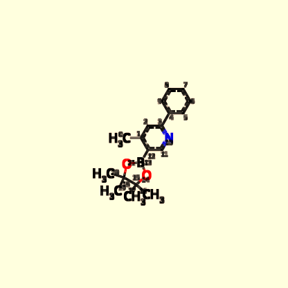 Cc1cc(-c2ccccc2)ncc1B1OC(C)(C)C(C)(C)O1